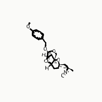 [C-]#[N+][C@H](C)C[C@H]1CC[C@@H]2O[C@@H]3C[C@]2(CO[C@H]3OCc2ccc(OC)cc2)O1